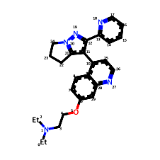 CCN(CC)CCOc1ccc2c(-c3c(-c4ccccn4)nn4c3CCC4)ccnc2c1